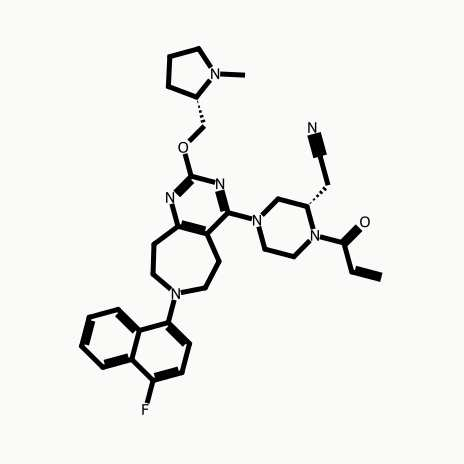 C=CC(=O)N1CCN(c2nc(OC[C@@H]3CCCN3C)nc3c2CCN(c2ccc(F)c4ccccc24)CC3)C[C@@H]1CC#N